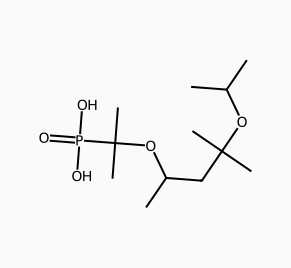 CC(C)OC(C)(C)CC(C)OC(C)(C)P(=O)(O)O